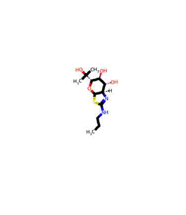 CCCNC1=N[C@H]2C(O[C@H](C(C)(C)O)[C@@H](O)[C@@H]2O)S1